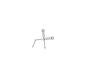 C[CH]S(=O)(=O)I